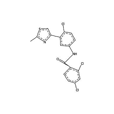 Cc1nc(-c2cc(NC(=O)c3ccc(Cl)cc3Cl)ccc2Cl)cs1